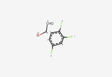 Fc1ccc(F)c(F)c1.O=CCBr